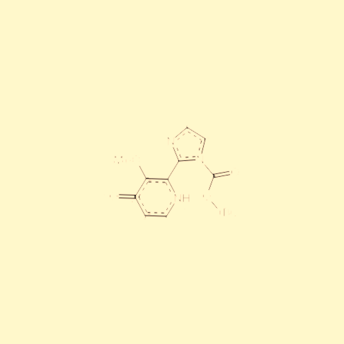 COc1c(-c2nccn2C(=O)OC(C)(C)C)[nH]ccc1=O